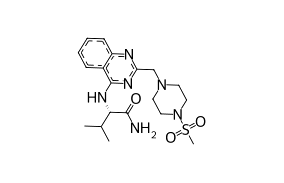 CC(C)[C@H](Nc1nc(CN2CCN(S(C)(=O)=O)CC2)nc2ccccc12)C(N)=O